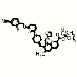 C=C1Cc2ccc(C(=O)OC(C)(C)C)nc2N(C[C@@H]2CCO2)C1C=C1CCN(c2cccc(OCc3ccc(C#N)cc3F)n2)CC1